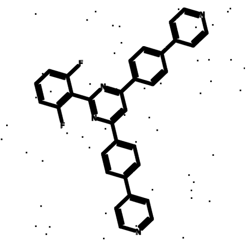 Fc1cccc(F)c1-c1nc(-c2ccc(-c3ccncc3)cc2)cc(-c2ccc(-c3ccncc3)cc2)n1